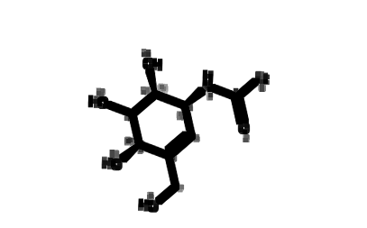 CCC(=O)N[C@H]1C=C(CO)[C@@H](O)C(O)[C@H]1O